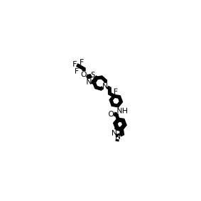 Cn1cc2ccc(C(=O)N[C@H]3CC[C@](F)(CCN4CCc5nc(OCC(F)(F)F)sc5CC4)CC3)cc2n1